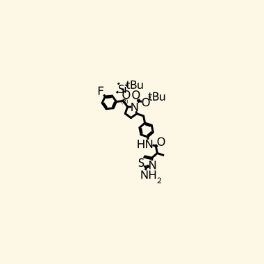 CC(C(=O)Nc1ccc(CC2CCC([C@H](O[Si](C)(C)C(C)(C)C)c3cccc(F)c3)N2C(=O)OC(C)(C)C)cc1)c1csc(N)n1